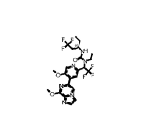 CC[C@H](CC(F)(F)F)NC(=O)N(CC)C(c1cc(-c2cn3ccnc3c(OC)n2)c(OC)cn1)C(F)(F)F